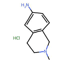 CN1CCc2cc(N)ccc2C1.Cl